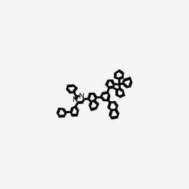 c1ccc(-c2cccc(-c3cc(-c4ccc(-c5cc(-c6ccc7ccccc7c6)cc(-c6cccc7c6-c6ccccc6C7(c6ccccc6)c6ccccc6)c5)c5ccccc45)nc(-c4ccccc4)n3)c2)cc1